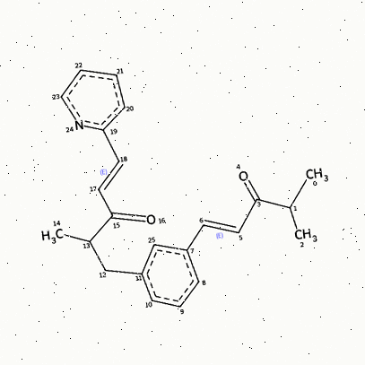 CC(C)C(=O)/C=C/c1cccc(CC(C)C(=O)/C=C/c2ccccn2)c1